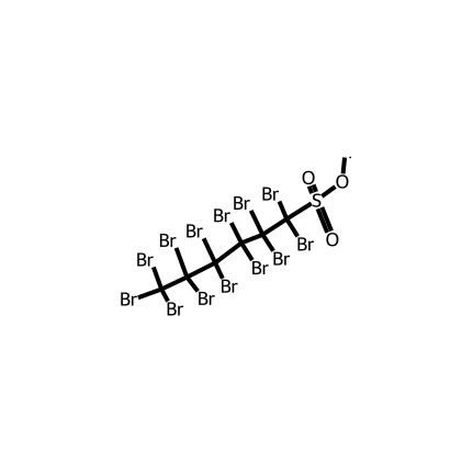 [CH2]OS(=O)(=O)C(Br)(Br)C(Br)(Br)C(Br)(Br)C(Br)(Br)C(Br)(Br)C(Br)(Br)Br